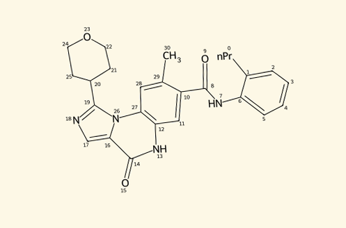 CCCc1ccccc1NC(=O)c1cc2[nH]c(=O)c3cnc(C4CCOCC4)n3c2cc1C